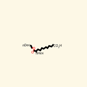 CCCCCCCCCCCCOC(=O)C(CCCCCC)CCCCCCCCCC(=O)O